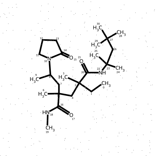 CCC(C)(CC(C)(CC(C)N1CCCC1=O)C(=O)NC)C(=O)NC(C)(C)CC(C)(C)C